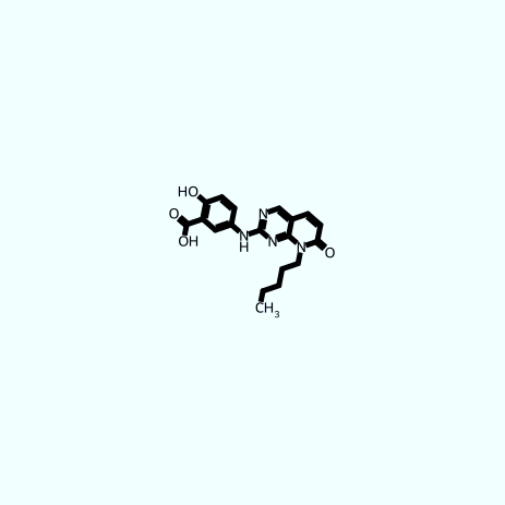 CCCCCn1c(=O)ccc2cnc(Nc3ccc(O)c(C(=O)O)c3)nc21